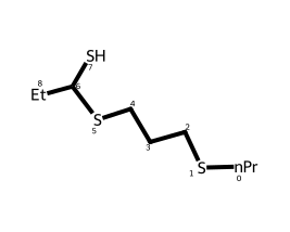 CCCSCCCSC(S)CC